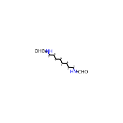 O=CNCCCCCCCCNC=O